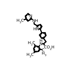 Cc1ccnc(NCc2ccc(-c3ccc(CC(Nc4c(C)cc(C)cc4C)C(=O)O)cc3)[nH]2)c1